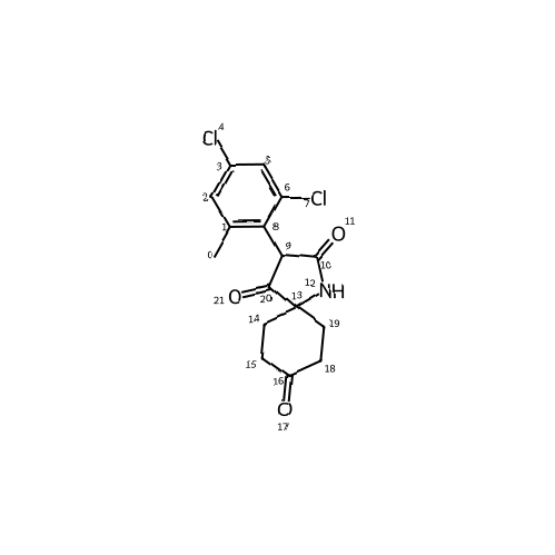 Cc1cc(Cl)cc(Cl)c1C1C(=O)NC2(CCC(=O)CC2)C1=O